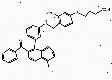 COc1cc(OCCCC(=O)O)ccc1CNc1cccc(-c2c(C(=O)c3ccccc3)cnc3c(C(F)(F)F)cccc23)c1